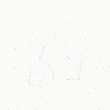 O=C(c1sccc1-n1cccc1)N1CCCCC1